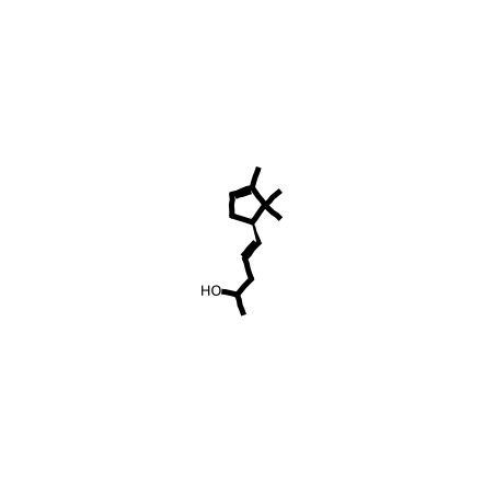 CC1=CC[C@H](C=CCC(C)O)C1(C)C